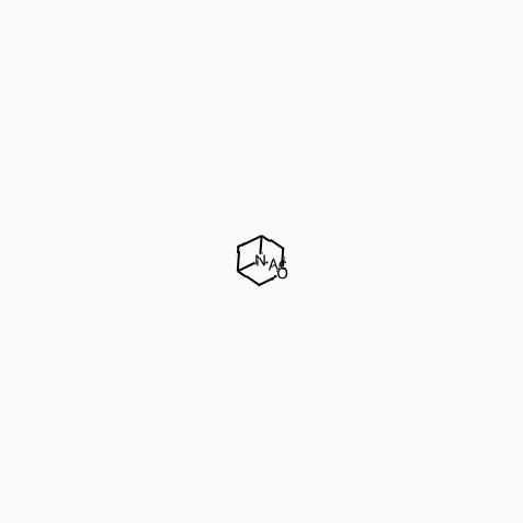 CC(=O)N1C2COCC1C2